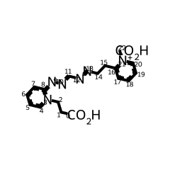 O=C(O)CCn1ccccc1=NN=CN=NCCc1cccc[n+]1C(=O)O